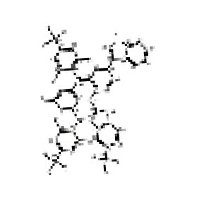 Cc1cc2c3c(c1)N(c1c(C)cc(C(C)(C)C)cc1C)c1c(sc4ccc(C(C)(C)C)cc14)B3c1ccc(-c3coc4ccccc34)cc1N2c1c(C)cc(C(C)(C)C)cc1C